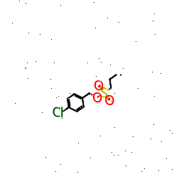 [CH2]CCS(=O)(=O)OCc1ccc(Cl)cc1